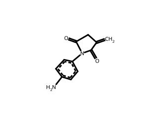 C=C1CC(=O)N(c2ccc(N)cc2)C1=O